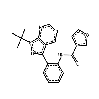 CC(C)(C)n1nc(-c2ccccc2NC(=O)c2ccoc2)c2cncnc21